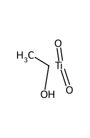 CCO.[O]=[Ti]=[O]